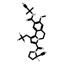 COc1cc2c(cc1C(=O)NC(C)(C)C#N)-c1c(CC(F)(F)F)cc(C(=O)N3CCC[C@]3(C)C#N)n1CC2